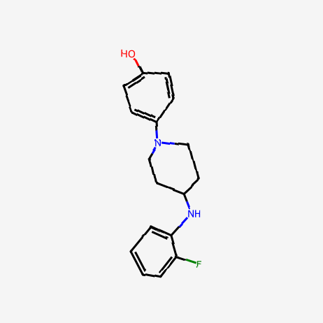 Oc1ccc(N2CCC(Nc3ccccc3F)CC2)cc1